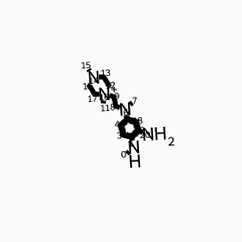 CNc1ccc(N(C)CC[N+]2(C)CCN(C)CC2)cc1N